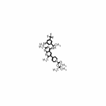 Cc1nc(N[C@H](C)c2cc(N)cc(C(F)(F)F)c2)c2cc(C3=CCN(C(=O)OC(C)(C)C)CC3)c(C)nc2n1